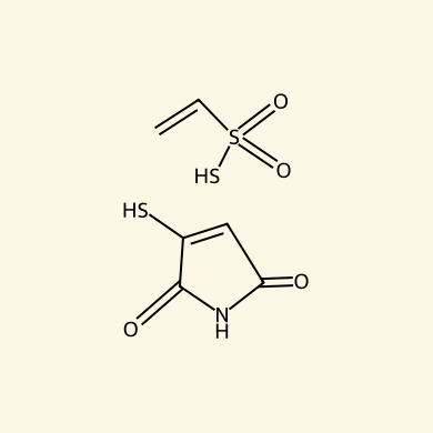 C=CS(=O)(=O)S.O=C1C=C(S)C(=O)N1